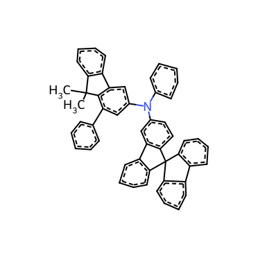 CC1(C)c2ccccc2-c2cc(N(c3ccccc3)c3ccc4c(c3)-c3ccccc3C43c4ccccc4-c4ccccc43)cc(-c3ccccc3)c21